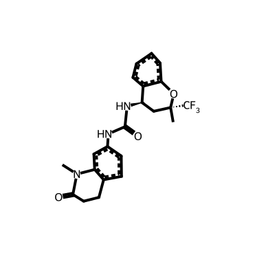 CN1C(=O)CCc2ccc(NC(=O)N[C@@H]3C[C@@](C)(C(F)(F)F)Oc4ccccc43)cc21